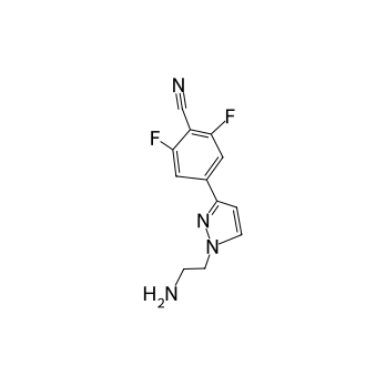 N#Cc1c(F)cc(-c2ccn(CCN)n2)cc1F